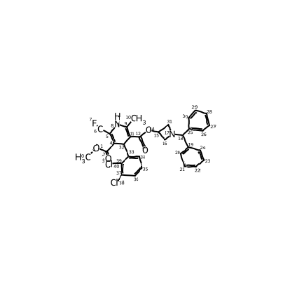 COC(=O)C1=C(CF)NC(C)=C(C(=O)OC2CN(C(c3ccccc3)c3ccccc3)C2)C1c1cccc(Cl)c1Cl